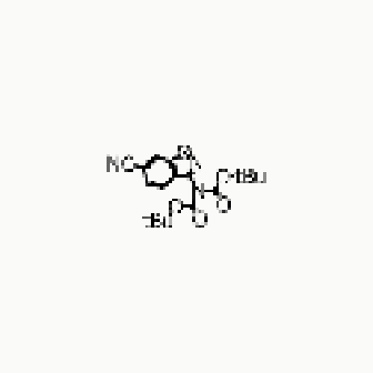 CC(C)(C)OC(=O)N(C(=O)OC(C)(C)C)c1noc2cc(C#N)ccc12